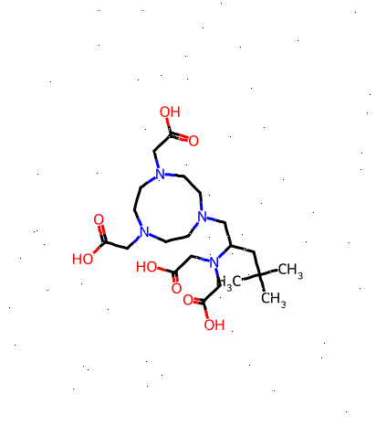 CC(C)(C)CC(CN1CCN(CC(=O)O)CCN(CC(=O)O)CC1)N(CC(=O)O)CC(=O)O